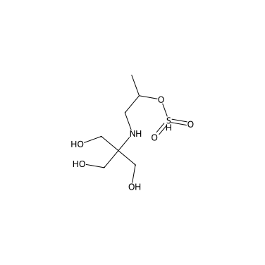 CC(CNC(CO)(CO)CO)O[SH](=O)=O